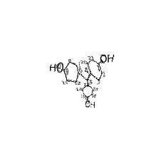 OC1CCC(C(C2CCC(O)CC2)C2CCC(O)CC2)CC1